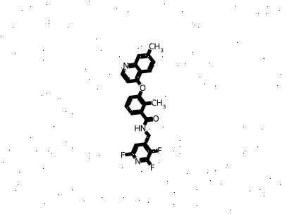 Cc1ccc2c(Oc3cccc(C(=O)NCc4cc(F)nc(F)c4F)c3C)ccnc2c1